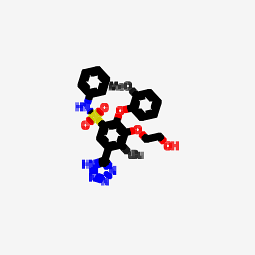 COc1ccccc1Oc1c(S(=O)(=O)Nc2ccccc2)cc(-c2nnn[nH]2)c(C(C)(C)C)c1OCCO